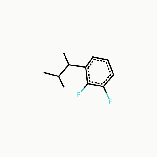 CC(C)C(C)c1cccc(F)c1F